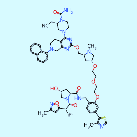 Cc1cc([C@@H](C(=O)N2C[C@H](O)C[C@H]2C(=O)NCc2ccc(-c3scnc3C)cc2OCCOCCO[C@@H]2C[C@@H](COc3nc4c(c(N5CCN(C(N)=O)[C@@H](CC#N)C5)n3)CCN(c3cccc5ccccc35)C4)N(C)C2)C(C)C)on1